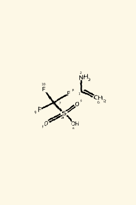 C=CN.O=S(=O)(O)C(F)(F)F